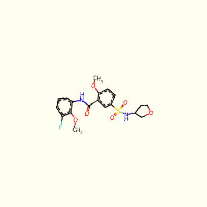 COc1ccc(S(=O)(=O)NC2CCOC2)cc1C(=O)Nc1cccc(F)c1OC